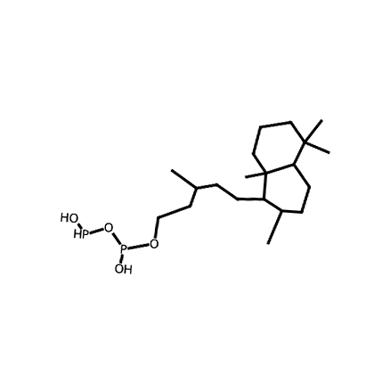 CC(CCOP(O)OPO)CCC1C(C)CCC2C(C)(C)CCCC12C